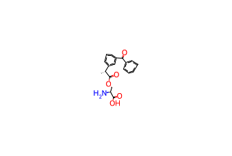 C[C@@H](C(=O)OC[C@H](N)C(=O)O)c1cccc(C(=O)c2ccccc2)c1